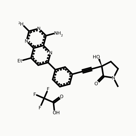 O=C(O)C(F)(F)F.[2H]c1nc(N)c2nc(-c3cccc(C#C[C@]4(O)CCN(C)C4=O)c3)cc(CC)c2n1